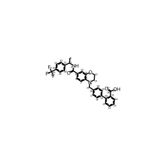 CC(NC(=O)c1ccc2c(c1)OCCN2Cc1ccc(-c2ccccc2C(=O)O)cc1)c1ccc(C(F)(F)F)cc1